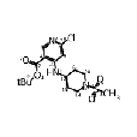 CC(C)(C)OC(=O)c1cnc(Cl)cc1NC1CCN(S(C)(=O)=O)CC1